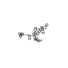 COc1ccc2[nH]c([S+]([O-])Cc3ncc(C)c(OC(=O)[C@H](Cc4c[nH]cn4)NC(=O)CCNCCCCO[N+](=O)[O-])c3C)nc2c1